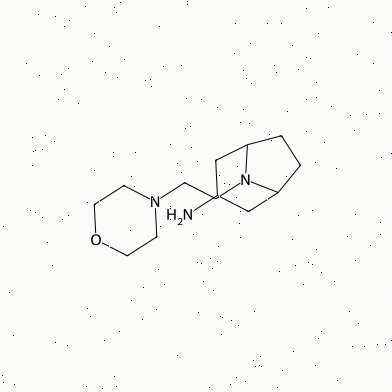 NC1CC2CCC(C1)N2CCN1CCOCC1